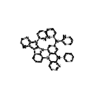 c1ccc(N2c3cc(N(c4ccccn4)c4ccccn4)cc4c3B(c3cccnc32)c2cccc3c5c6nccnc6n(-c6ccccn6)c5n-4c23)cc1